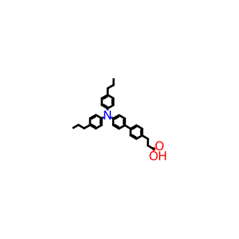 CCCc1ccc(N(c2ccc(CCC)cc2)c2ccc(-c3ccc(CCC(=O)O)cc3)cc2)cc1